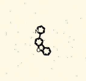 [c]1c(-c2ccccn2)ccc2oc3ccccc3c12